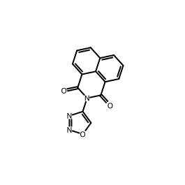 O=C1c2cccc3cccc(c23)C(=O)N1c1conn1